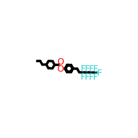 CCCC1CCC(C(=O)Oc2ccc(CCC(F)(F)C(F)(F)C(F)(F)C(F)(F)F)cc2)CC1